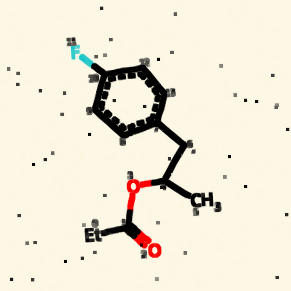 CCC(=O)OC(C)Cc1ccc(F)cc1